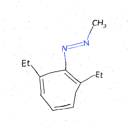 CCc1cccc(CC)c1/N=N/C